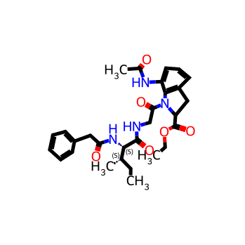 CCOC(=O)C1Cc2cccc(NC(C)=O)c2N1C(=O)CNC(=O)[C@@H](NC(=O)Cc1ccccc1)[C@@H](C)CC